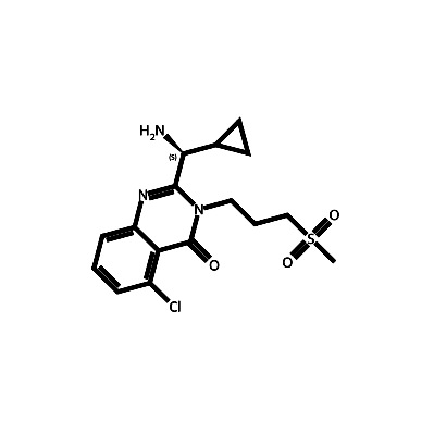 CS(=O)(=O)CCCn1c([C@@H](N)C2CC2)nc2cccc(Cl)c2c1=O